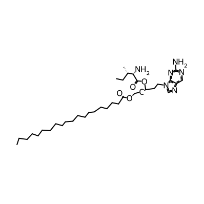 CCCCCCCCCCCCCCCCCCCC(=O)OCCC(CCn1cnc2cnc(N)nc21)OC(=O)[C@@H](N)[C@@H](C)CC